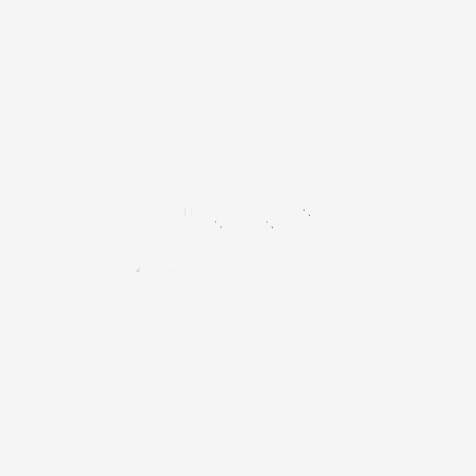 CN1CCN(CCN(C)Cc2ccc(Br)cc2)CC1